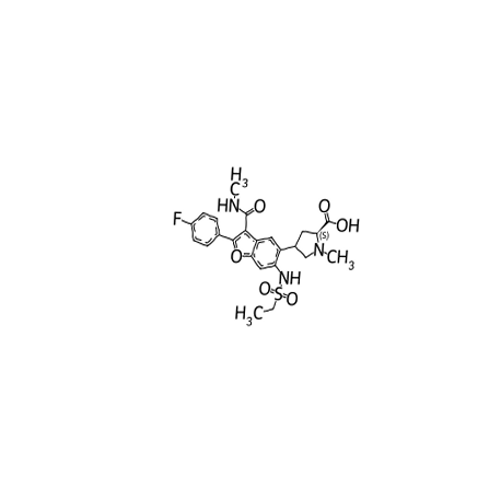 CCS(=O)(=O)Nc1cc2oc(-c3ccc(F)cc3)c(C(=O)NC)c2cc1C1C[C@@H](C(=O)O)N(C)C1